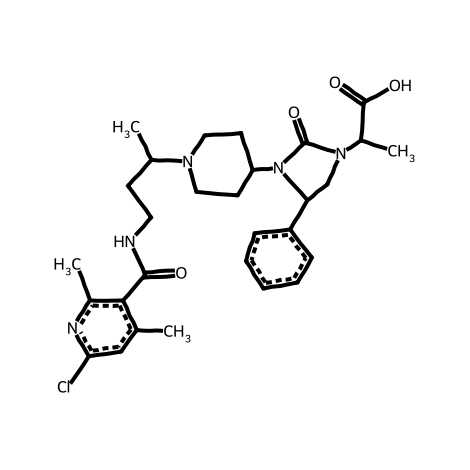 Cc1cc(Cl)nc(C)c1C(=O)NCCC(C)N1CCC(N2C(=O)N(C(C)C(=O)O)CC2c2ccccc2)CC1